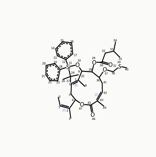 C/C=C(/C)C1C/C=C(\C)C(O[Si](c2ccccc2)(c2ccccc2)C(C)(C)C)C(OC(=O)CC(C)C)C(OCSC)C/C=C(/C)C(=O)O1